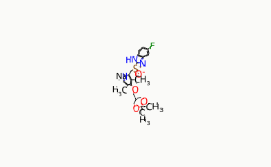 Cc1cnc(C[S+]([O-])c2nc3cc(F)ccc3[nH]2)c(C)c1OCC1COC(C)(C)OC1.[Na]